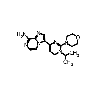 CC(C)N1CC=C(c2cnc3c(N)nccn23)N=C1N1CCOCC1